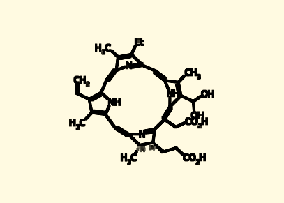 C=Cc1c(C)c2cc3nc(c(CC(=O)O)c4[nH]c(cc5nc(cc1[nH]2)C(C)=C5CC)c(C)c4C(O)O)[C@@H](CCC(=O)O)[C@@H]3C